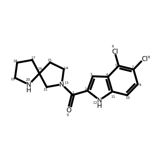 O=C(c1cc2c(Cl)c(Cl)ccc2[nH]1)N1CCC2(CCCN2)C1